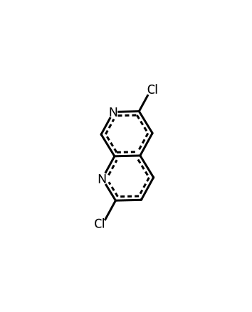 Clc1cc2ccc(Cl)nc2cn1